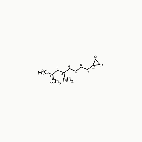 C=C(C)CC(N)CCCCC1CC1